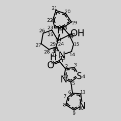 O=C(c1csc(-c2cccnc2)n1)N1CC[C@](O)(c2ccccc2)[C@H]2CCCC[C@H]21